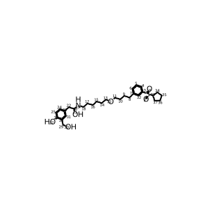 O=S(=O)(c1cccc(CCCCOCCCCCCNC(O)Cc2ccc(O)c(CO)c2)c1)C1CCCC1